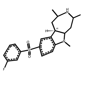 CC1CC2[C@H](CC(C)N1)c1cc(S(=O)(=O)c3cccc(F)c3)ccc1N2C